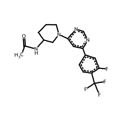 CC(=O)NC1CCCN(c2cc(-c3ccc(C(F)(F)F)c(F)c3)ncn2)C1